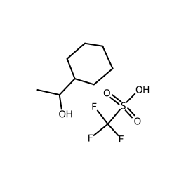 CC(O)C1CCCCC1.O=S(=O)(O)C(F)(F)F